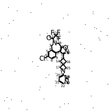 O=C(N1Cc2cc(Cl)ccc2-c2c(C3CC4(C3)CN(c3cccnn3)C4)noc2C1)C(F)(F)F